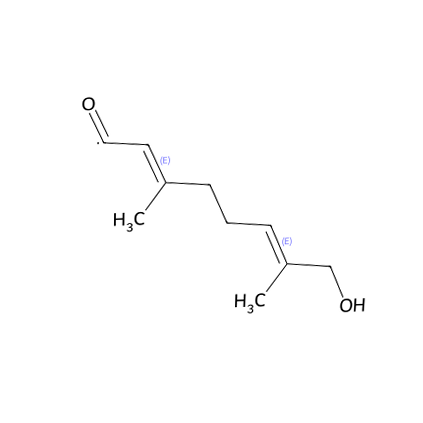 C/C(=C\CC/C(C)=C/[C]=O)CO